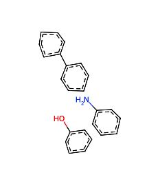 Nc1ccccc1.Oc1ccccc1.c1ccc(-c2ccccc2)cc1